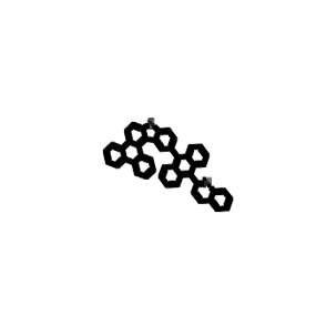 c1ccc2nc(-c3c4ccccc4c(-c4ccc5sc6ccc7c8ccccc8c8ccccc8c7c6c5c4)c4ccccc34)ccc2c1